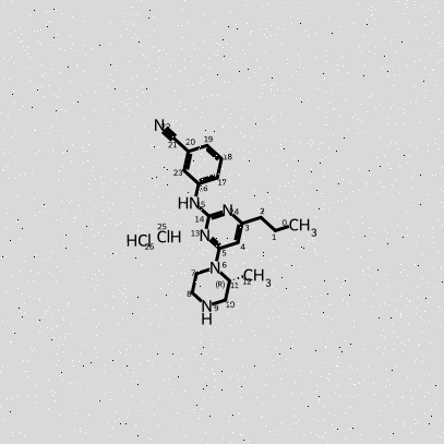 CCCc1cc(N2CCNC[C@H]2C)nc(Nc2cccc(C#N)c2)n1.Cl.Cl